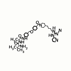 CC(C)[C@H](N)C(=O)N[C@@H](C)C(=O)Nc1ccc(COc2ccc(C(=O)N3CCC(CCCCN/C(=N\C#N)Nc4cccnc4)CC3)cc2)cc1